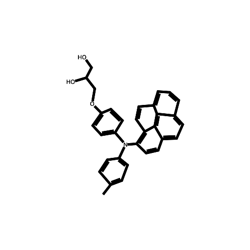 Cc1ccc(N(c2ccc(OCC(O)CO)cc2)c2ccc3ccc4cccc5ccc2c3c45)cc1